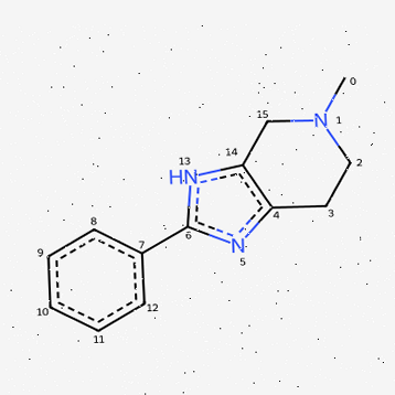 CN1CCc2nc(-c3ccccc3)[nH]c2C1